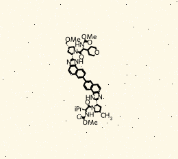 COC[C@H]1C[C@@H](c2nc3ccc4cc(-c5ccc6c(ccc7nc([C@@H]8C[C@H](C)CN8C(=O)[C@@H](NC(=O)OC)C(C)C)[nH]c76)c5)ccc4c3[nH]2)N(C(=O)[C@H](NC(=O)OC)C2CCOCC2)C1